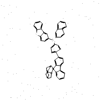 c1ccc2c(c1)-c1ccc(-c3ccc(N(c4ccc5ccccc5c4)c4ccc5sc6ccccc6c5c4)cc3)cc1C21C2CC3CC(C2)C1C3